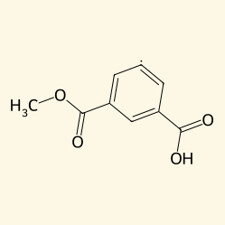 COC(=O)c1c[c]cc(C(=O)O)c1